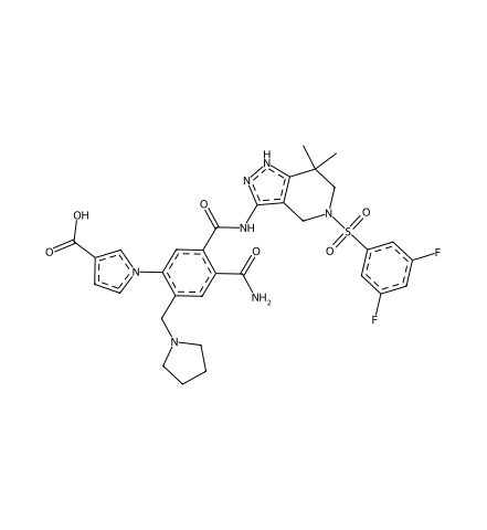 CC1(C)CN(S(=O)(=O)c2cc(F)cc(F)c2)Cc2c(NC(=O)c3cc(-n4ccc(C(=O)O)c4)c(CN4CCCC4)cc3C(N)=O)n[nH]c21